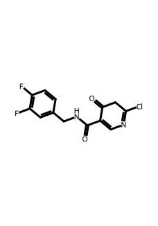 O=C1CC(Cl)=NC=C1C(=O)NCc1ccc(F)c(F)c1